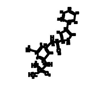 CS(=N)(=O)Nc1cc(Br)cc(NC(=O)c2cc(-c3ccccn3)cs2)c1